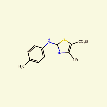 CCCC1=C(C(=O)OCC)SC(Nc2ccc(C)cc2)N1